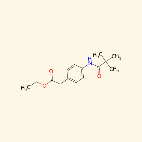 CCOC(=O)Cc1ccc(NC(=O)C(C)(C)C)cc1